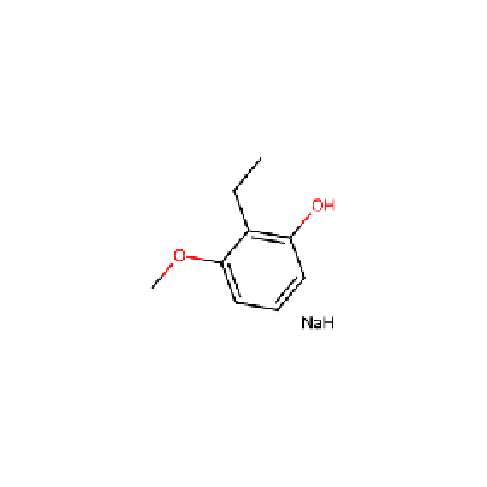 CCc1c(O)cccc1OC.[NaH]